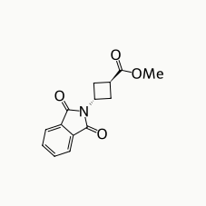 COC(=O)[C@H]1C[C@H](N2C(=O)c3ccccc3C2=O)C1